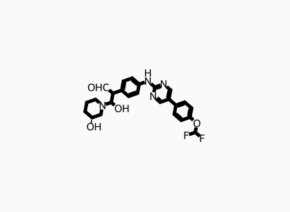 O=CC(c1ccc(Nc2ncc(-c3ccc(OC(F)F)cc3)cn2)cc1)C(O)N1CCC[C@@H](O)C1